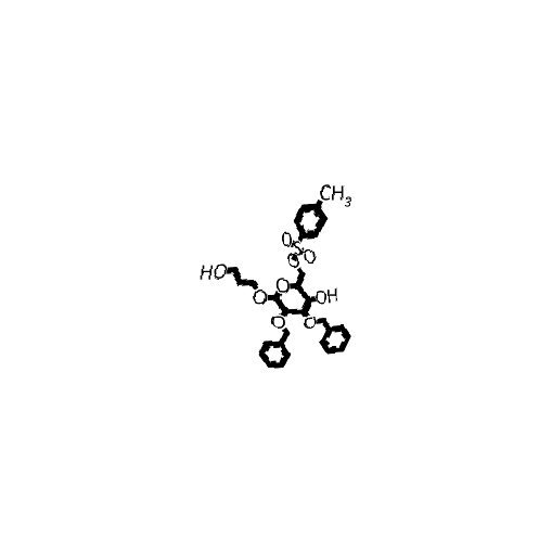 Cc1ccc(S(=O)(=O)OCC2OC(OCCCO)C(OCc3ccccc3)C(OCc3ccccc3)C2O)cc1